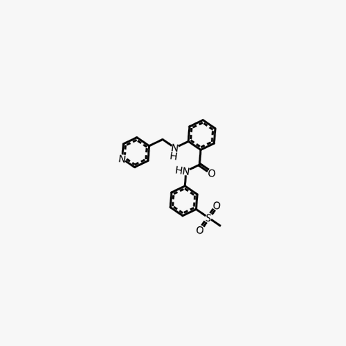 CS(=O)(=O)c1cccc(NC(=O)c2ccccc2NCc2ccncc2)c1